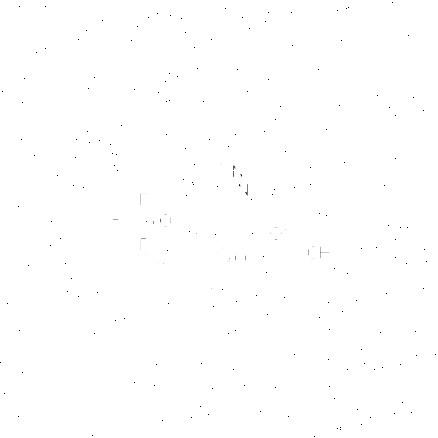 CCOC(=O)c1nnc2cccc(OC(F)(F)F)c2c1-c1ccccc1